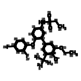 [2H]C([2H])([2H])c1cc(-c2cc(NS(=O)(=O)CC)ccc2Oc2ccc(F)cc2F)cc(OCC)[n+]1[O-]